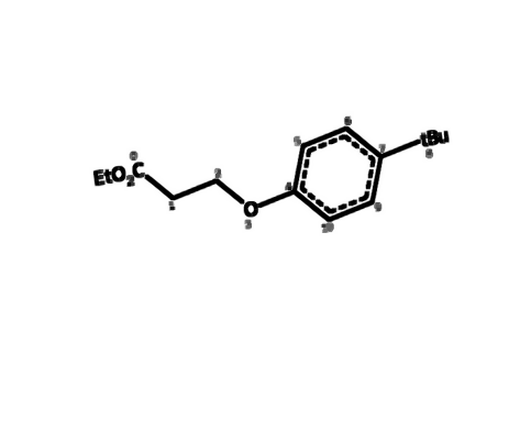 CCOC(=O)CCOc1ccc(C(C)(C)C)cc1